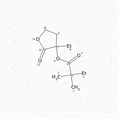 CCC(C)(C)C(=O)OC1(CC)CCOC1=O